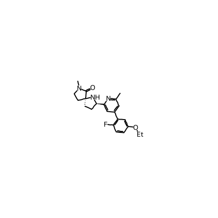 CCOc1ccc(F)c(-c2cc(C)nc([C@H]3CC[C@@]4(CCN(C)C4=O)N3)c2)c1